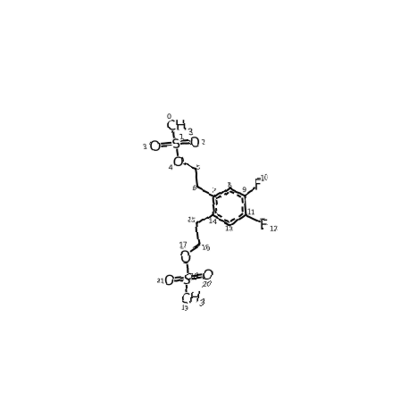 CS(=O)(=O)OCCc1cc(F)c(F)cc1CCOS(C)(=O)=O